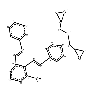 C(OCC1CO1)C1CO1.Oc1cccc(/C=C/c2ccccc2)c1/C=C/c1ccccc1